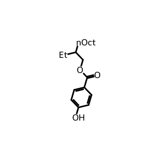 CCCCCCCCC(CC)COC(=O)c1ccc(O)cc1